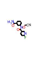 N#CCON(C(=O)c1ccc(F)nc1)c1cccc(C(N)=O)c1